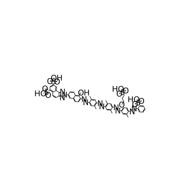 Cc1cc(N=Nc2cc(C)c(N=Nc3ccccc3S(=O)(=O)O)cc2OCCCS(=O)(=O)O)c(C)cc1N=Nc1cc(C)c(N=Nc2ccc3cc(-n4nc5ccc6c(S(=O)(=O)O)cc(S(=O)(=O)O)cc6c5n4)ccc3c2O)cc1C